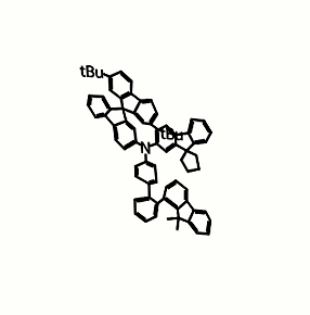 CC(C)(C)c1ccc2c(c1)C1(c3ccccc3-c3ccc(N(c4ccc(-c5ccccc5-c5cccc6c5C(C)(C)c5ccccc5-6)cc4)c4ccc5c(c4)C4(CCCC4)c4ccccc4-5)cc31)c1cc(C(C)(C)C)ccc1-2